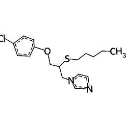 CCCCCSC(COc1ccc(Cl)cc1)Cn1ccnc1